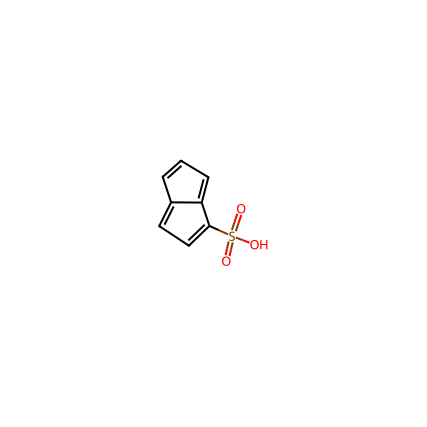 O=S(=O)(O)C1=CC=C2C=CC=C21